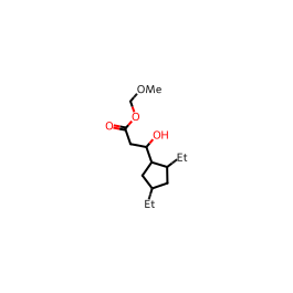 CCC1CC(CC)C(C(O)CC(=O)OCOC)C1